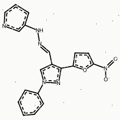 O=[N+]([O-])c1ccc(-c2nn(-c3ccccc3)cc2/C=N/Nc2cccnc2)o1